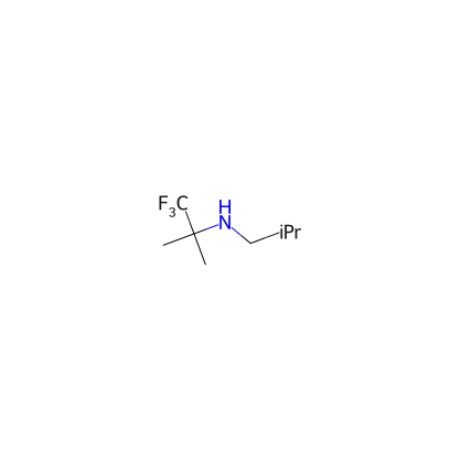 CC(C)CNC(C)(C)C(F)(F)F